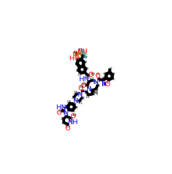 Cc1ccc2onc(C(=O)N3CC[C@H]4CC[C@@H](C(=O)N5CCN(c6ccc7c(c6)[nH]c(=O)n7C6CCC(=O)NC6=O)CC5)N4C(=O)[C@@H](NC(=O)c4ccc5ccc(C(F)(F)P(=O)(O)O)cc5c4)C3)c2c1